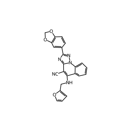 N#Cc1c(NCc2ccco2)c2ccccc2n2nc(-c3ccc4c(c3)OCO4)nc12